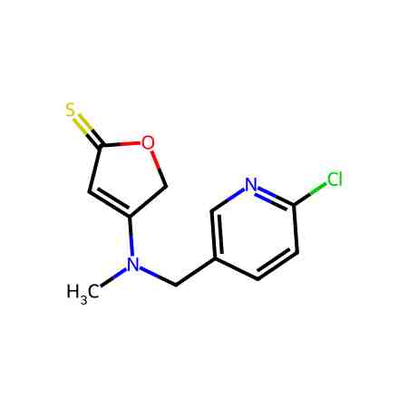 CN(Cc1ccc(Cl)nc1)C1=CC(=S)OC1